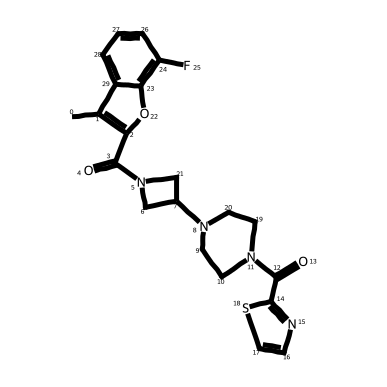 Cc1c(C(=O)N2CC(N3CCN(C(=O)c4nccs4)CC3)C2)oc2c(F)cccc12